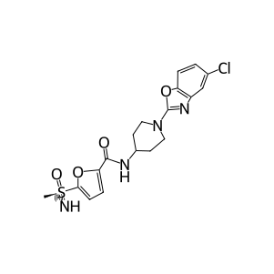 C[S@@](=N)(=O)c1ccc(C(=O)NC2CCN(c3nc4cc(Cl)ccc4o3)CC2)o1